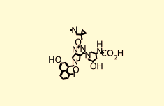 CN(C)CC1(COc2nc3c(c(N4CC(O)CC(NC(=O)O)C4)n2)CN(C(=O)c2cc(O)cc4cccc(I)c24)C3)CC1